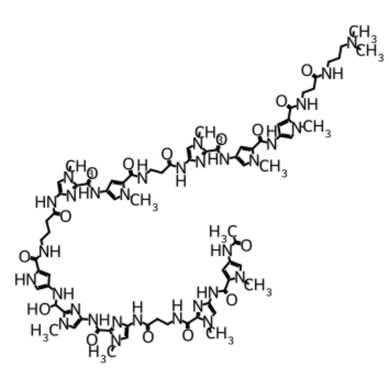 CC(=O)Nc1cc(C(=O)Nc2cn(C)c(C(=O)NCCC(=O)Nc3cn(C)c(C(=O)Nc4cn(C)c(C(O)Nc5c[nH]c(C(=O)NCCCC(=O)Nc6cn(C)c(C(=O)Nc7cc(C(=O)NCCC(=O)Nc8cn(C)c(C(=O)Nc9cc(C(=O)Nc%10cc(C(=O)NCCC(=O)NCCCN(C)C)n(C)c%10)n(C)c9)n8)n(C)c7)n6)c5)n4)n3)n2)n(C)c1